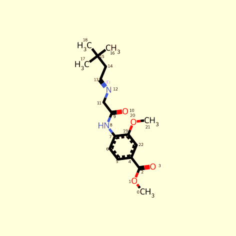 COC(=O)c1ccc(NC(=O)C/N=C/CC(C)(C)C)c(OC)c1